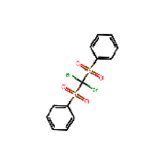 O=S(=O)(c1ccccc1)C(Br)(Br)S(=O)(=O)c1ccccc1